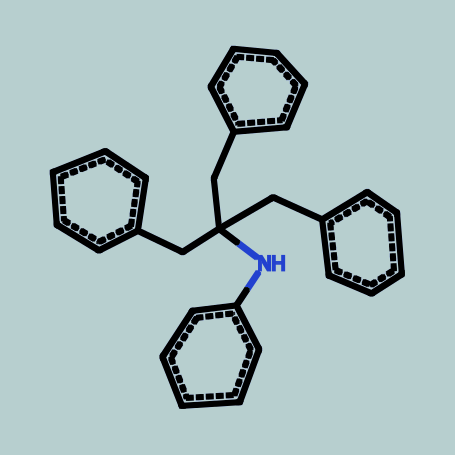 c1ccc(CC(Cc2ccccc2)(Cc2ccccc2)Nc2ccccc2)cc1